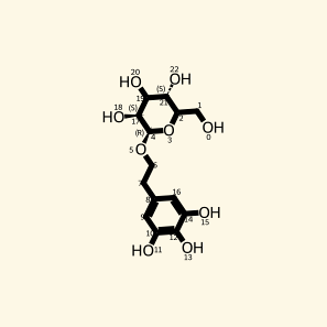 OCC1O[C@@H](OCCc2cc(O)c(O)c(O)c2)[C@@H](O)C(O)[C@@H]1O